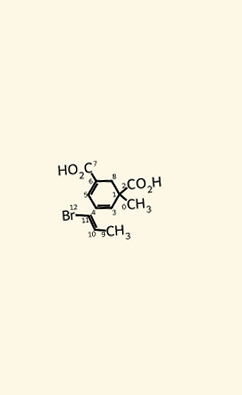 CC1(C(=O)O)C=CC=C(C(=O)O)C1.CC=CBr